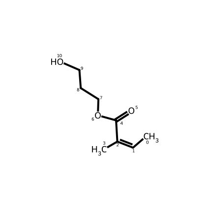 CC=C(C)C(=O)OCCCO